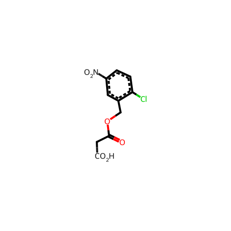 O=C(O)CC(=O)OCc1cc([N+](=O)[O-])ccc1Cl